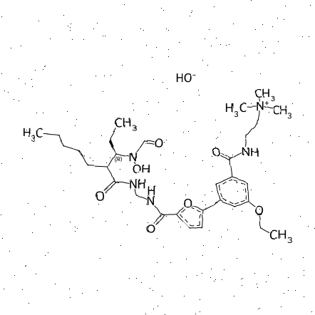 CCCCCC(C(=O)NCNC(=O)c1ccc(-c2cc(OCC)cc(C(=O)NCC[N+](C)(C)C)c2)o1)[C@@H](CC)N(O)C=O.[OH-]